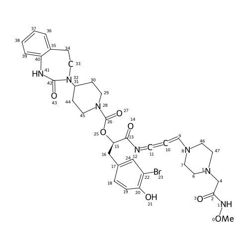 CONC(=O)CN1CCN(C=C=C=NC(=O)[C@@H](Cc2ccc(O)c(Br)c2)OC(=O)N2CCC(N3CCc4ccccc4NC3=O)CC2)CC1